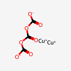 O=C([O-])OC(=O)OC(=O)[O-].[Cu+].[Cu+]